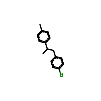 Cc1ccc(C(C)Cc2ccc(Cl)cc2)cc1